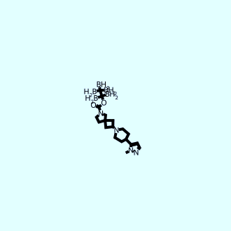 BC(B)(B)C(B)(B)OC(=O)N1CCC2(CC(N3CCC(c4ccnn4C)CC3)C2)C1